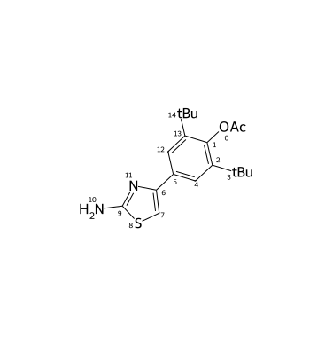 CC(=O)Oc1c(C(C)(C)C)cc(-c2csc(N)n2)cc1C(C)(C)C